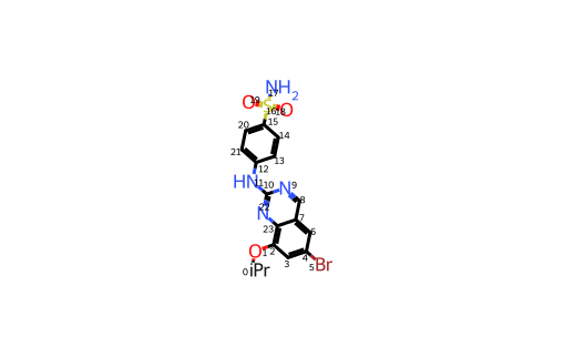 CC(C)Oc1cc(Br)cc2cnc(Nc3ccc(S(N)(=O)=O)cc3)nc12